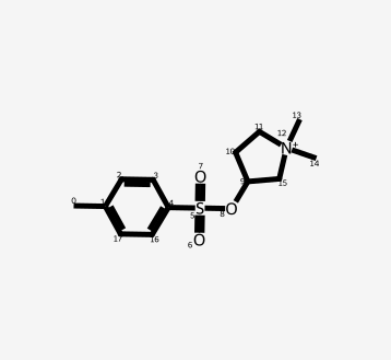 Cc1ccc(S(=O)(=O)OC2CC[N+](C)(C)C2)cc1